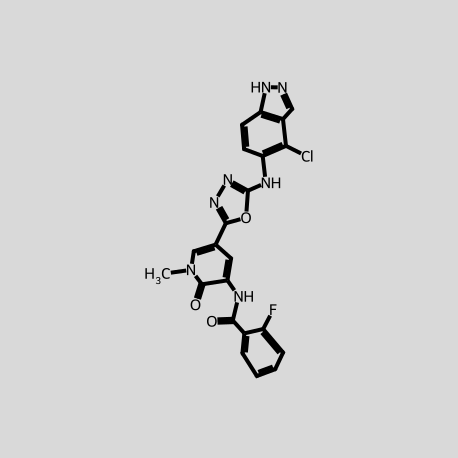 Cn1cc(-c2nnc(Nc3ccc4[nH]ncc4c3Cl)o2)cc(NC(=O)c2ccccc2F)c1=O